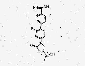 C[C@H](O)[C@H]1CN(c2ccc(-c3ccc(C(=N)N)nc3)c(F)c2)C(=O)O1